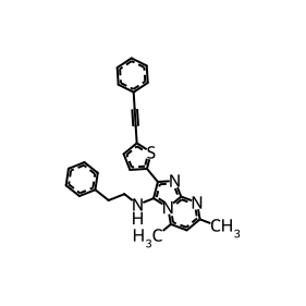 Cc1cc(C)n2c(NCCc3ccccc3)c(-c3ccc(C#Cc4ccccc4)s3)nc2n1